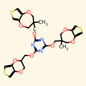 CC1(COc2nc(OCC3COc4cscc4O3)nc(OCC3(C)COc4cscc4OC3)n2)COc2cscc2OC1